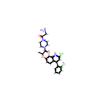 CC(Oc1ccc2c(-c3ccccc3Cl)cc(Cl)nc2c1)C(=O)N1CCN(C(=O)CN)CC1